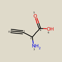 [C]#CC(N)C(=O)O